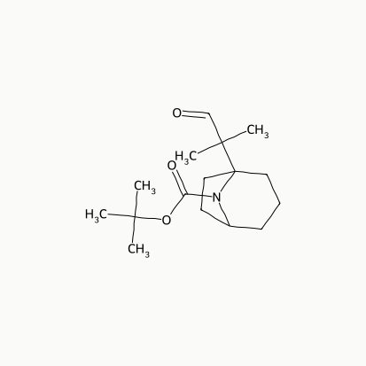 CC(C)(C)OC(=O)N1C2CCCC1(C(C)(C)C=O)CC2